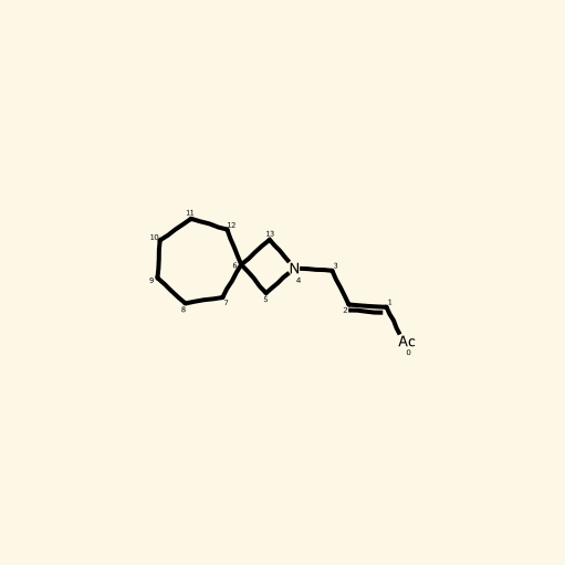 CC(=O)/C=C/CN1CC2(CCCCCC2)C1